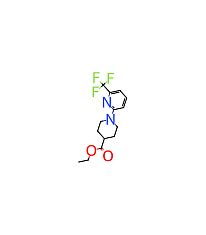 CCOC(=O)C1CCN(c2cccc(C(F)(F)F)n2)CC1